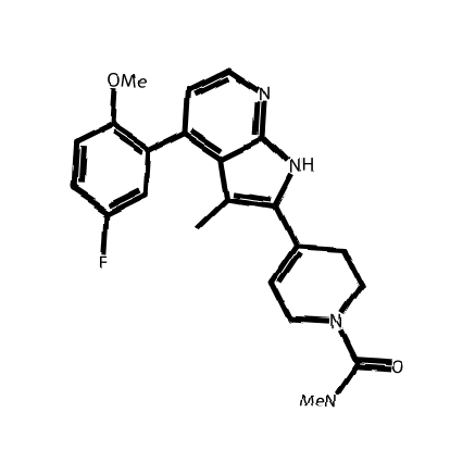 CNC(=O)N1CC=C(c2[nH]c3nccc(-c4cc(F)ccc4OC)c3c2C)CC1